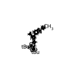 CN1CC(n2cc3cnc(-c4cn([C@H]5C[C@H](CN(C(=O)OC(C)(C)C)C(=O)OC(C)(C)C)C5)nc4C4CC4)cc3n2)C1